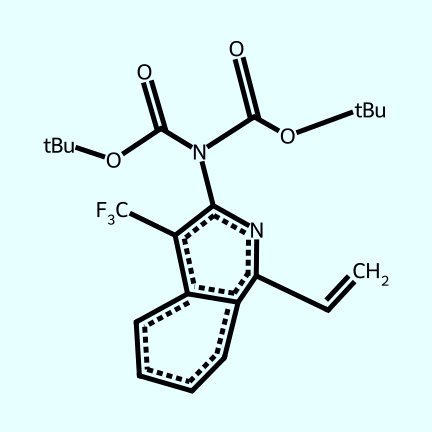 C=Cc1nc(N(C(=O)OC(C)(C)C)C(=O)OC(C)(C)C)c(C(F)(F)F)c2ccccc12